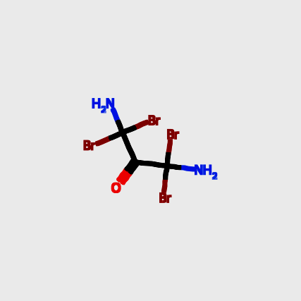 NC(Br)(Br)C(=O)C(N)(Br)Br